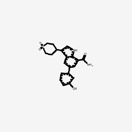 NC(=O)c1cc(-c2cccc(O)c2)cc2c(C3CCS(=O)(=O)CC3)c[nH]c12